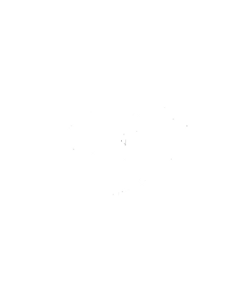 Cc1c(OC(=O)O)c2cccc(Cl)c2c(=O)n1-c1ccccc1